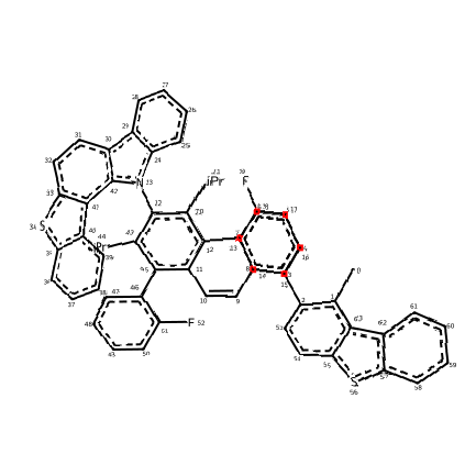 Cc1c(-c2ccccc2/C=C\c2c(-c3ccccc3F)c(C(C)C)c(-n3c4ccccc4c4ccc5sc6ccccc6c5c43)c(C(C)C)c2-c2ccccc2F)ccc2sc3ccccc3c12